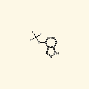 FC(F)(F)Oc1cccc2[nH]n[c]c12